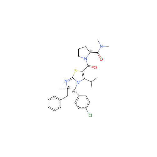 CC(C)C1=C(C(=O)N2CCC[C@H]2C(=O)N(C)C)SC2=N[C@](C)(Cc3ccccc3)[C@@H](c3ccc(Cl)cc3)N21